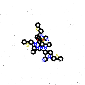 c1ccc(-c2cc(-c3cc(-c4cnccc4-n4c5ccccc5c5c6sc7ccccc7c6ccc54)ccc3-n3c4ccccc4c4c5sc6ccccc6c5ccc43)nc(-c3cc(-c4cnccc4-n4c5ccccc5c5c6sc7ccccc7c6ccc54)ccc3-n3c4ccccc4c4c5sc6ccccc6c5ccc43)n2)cc1